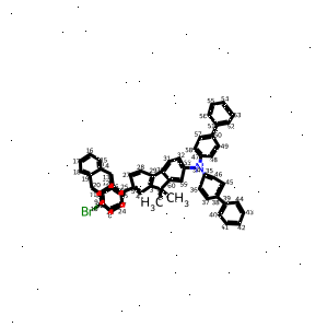 CC1(C)c2cc(-c3ccc(Br)c4c3C3c5ccccc5C4c4ccccc43)ccc2-c2ccc(N(c3ccc(-c4ccccc4)cc3)c3ccc(-c4ccccc4)cc3)cc21